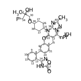 CCCc1c(Cc2ccc(-c3ccccc3-c3noc(=O)[nH]3)cc2)c(=O)n(C2CCC(OCC(C)(O)CF)CC2)c2nc(C)nn12.[KH]